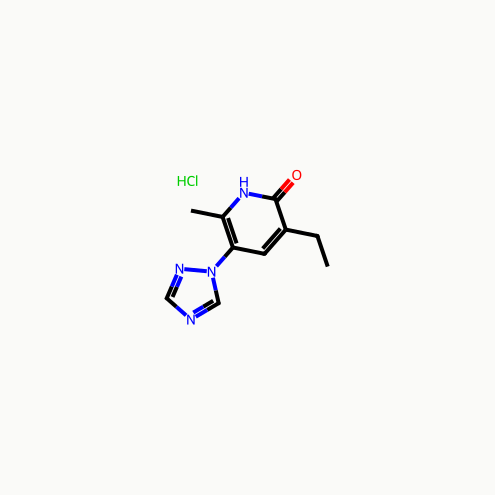 CCc1cc(-n2cncn2)c(C)[nH]c1=O.Cl